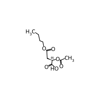 CCCCOC(=O)C[C@@H](OC(C)=O)C(=O)O